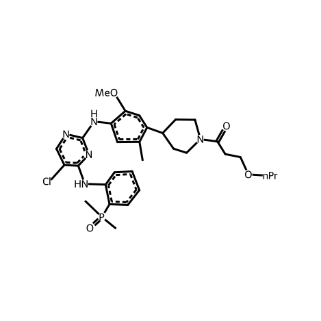 CCCOCCC(=O)N1CCC(c2cc(OC)c(Nc3ncc(Cl)c(Nc4ccccc4P(C)(C)=O)n3)cc2C)CC1